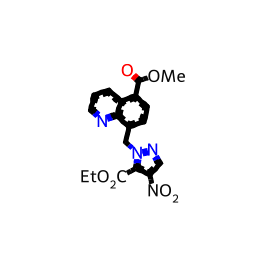 CCOC(=O)c1c([N+](=O)[O-])cnn1Cc1ccc(C(=O)OC)c2cccnc12